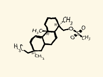 CC[C@@]1(C)CC=C2C(CCC3[C@](C)(COS(C)(=O)=O)CCC[C@@]23C)C1